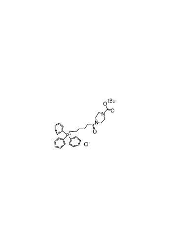 CC(C)(C)OC(=O)N1CCN(C(=O)CCCCC[P+](c2ccccc2)(c2ccccc2)c2ccccc2)CC1.[Cl-]